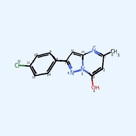 Cc1cc(O)n2nc(-c3ccc(Cl)cc3)cc2n1